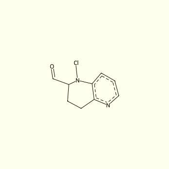 O=CC1CCc2ncccc2N1Cl